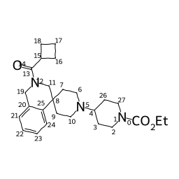 CCOC(=O)N1CCC(N2CCC3(CC2)CN(C(=O)C2CCC2)Cc2ccccc23)CC1